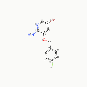 Nc1ncc(Br)cc1OCc1ccc(F)cc1